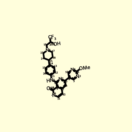 COc1ncc(-c2cc3c(c(Nc4ccc(C5CCN(CC(O)C(F)(F)F)CC5)cc4)n2)C(=O)[N]C=C3)cn1